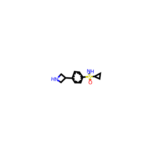 N=S(=O)(c1ccc(C2CNC2)cc1)C1CC1